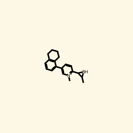 CC1BC1c1ccc(-c2cccc3c2CCCC3)c[n+]1C